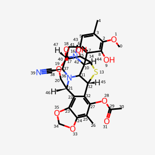 COc1c(C)cc2c(c1O)[C@@H]1C3[C@@H]4SC[C@@H](O)C(=O)OC[C@@H](c5c6c(c(C)c(OC(C)=O)c54)OCO6)N3[C@@H](C#N)[C@H](C2)N1C